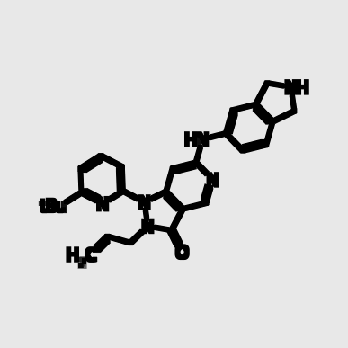 C=CCn1c(=O)c2cnc(Nc3ccc4c(c3)CNC4)cc2n1-c1cccc(C(C)(C)C)n1